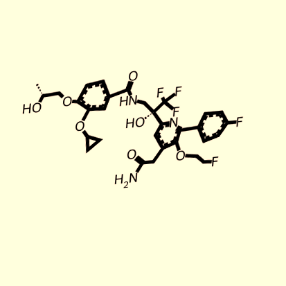 C[C@@H](O)COc1ccc(C(=O)NC[C@](O)(c2cc(CC(N)=O)c(OCCF)c(-c3ccc(F)cc3)n2)C(F)(F)F)cc1OC1CC1